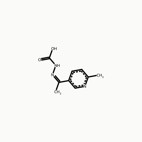 C/C(=N/NC(=O)O)c1ccc(C)nc1